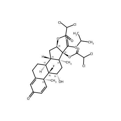 CC(C)OC(=O)[C@@]1(OC(=O)C(Cl)Cl)[C@H](OC(=O)C(Cl)Cl)C[C@H]2[C@@H]3CCC4=CC(=O)C=C[C@]4(C)[C@@]3(F)[C@@H](O)C[C@@]21C